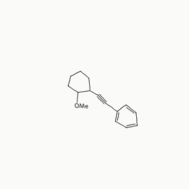 COC1CCCCC1C#Cc1ccccc1